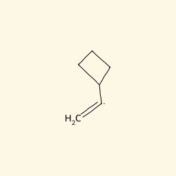 C=[C]C1CCC1